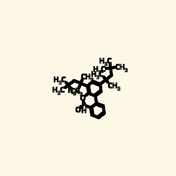 CC(C)(C)CC(C)(C)c1cc2c(c(C(C)(C)CC(C)(C)C)c1)O[PH](=O)c1ccccc1-2